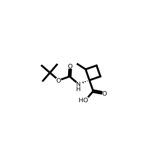 CC1CC[C@@]1(NC(=O)OC(C)(C)C)C(=O)O